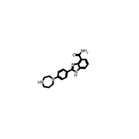 NC(=O)c1cccc2[nH]c(-c3ccc(N4CCCNCC4)cc3)nc12